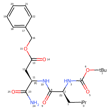 CC(C)C[C@H](NC(=O)OC(C)(C)C)C(=O)N[C@H](CC(=O)OCc1ccccc1)C(N)=O